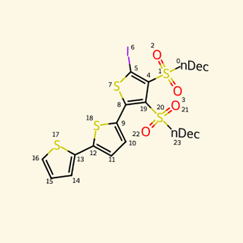 CCCCCCCCCCS(=O)(=O)c1c(I)sc(-c2ccc(-c3cccs3)s2)c1S(=O)(=O)CCCCCCCCCC